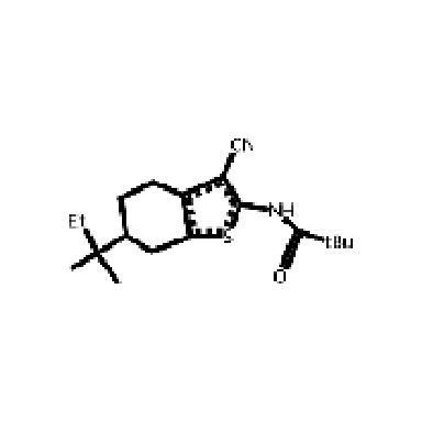 CCC(C)(C)C1CCc2c(sc(NC(=O)C(C)(C)C)c2C#N)C1